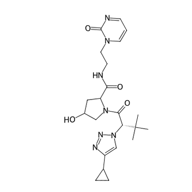 CC(C)(C)[C@@H](C(=O)N1CC(O)CC1C(=O)NCCn1cccnc1=O)n1cc(C2CC2)nn1